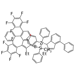 CCC1=Cc2c(-c3ccccc3)cccc2[CH]1[Zr]([c]1ccccc1)([c]1ccccc1)[Si](C)(/B=C1/C(CC)=C(c2c(F)c(F)c(F)c(F)c2F)c2c1ccc(-c1c(F)c(F)c(F)c(F)c1F)c2-c1ccccc1)c1ccccc1